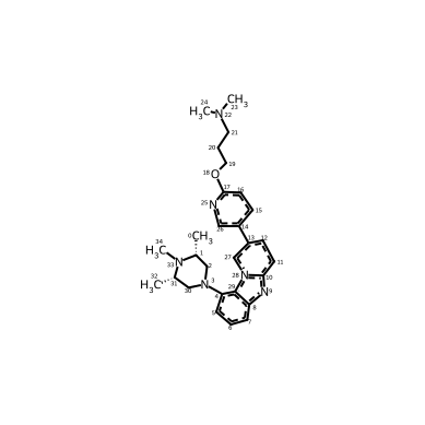 C[C@@H]1CN(c2cccc3nc4ccc(-c5ccc(OCCCN(C)C)nc5)cn4c23)C[C@H](C)N1C